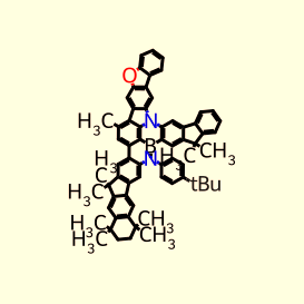 Cc1cc2c3c4c1c1cc5oc6ccccc6c5cc1n4-c1cc4c(cc1B3N(c1ccc(C(C)(C)C)cc1)c1cc3c(cc1-2)C(C)(C)c1cc2c(cc1-3)C(C)(C)CCC2(C)C)C(C)(C)c1ccccc1-4